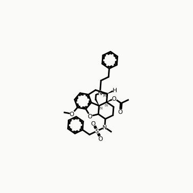 COc1ccc2c3c1OC1C(N(C)S(=O)(=O)Cc4ccccc4)CC[C@@]4(OC(C)=O)[C@@H](C2)N(CCc2ccccc2)CC[C@]314